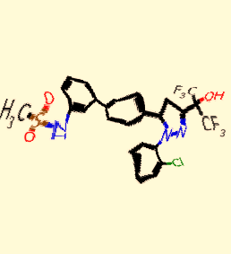 CS(=O)(=O)Nc1cccc(-c2ccc(C3CC(C(O)(C(F)(F)F)C(F)(F)F)=NN3c3ccccc3Cl)cc2)c1